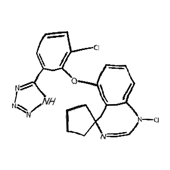 Clc1cccc(-c2nnn[nH]2)c1Oc1cccc2c1C1(CCCC1)N=CN2Cl